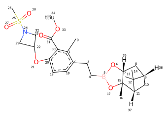 Cc1c(CCB2O[C@@H]3C[C@@H]4C[C@@H](C4(C)C)[C@]3(C)O2)ccc(OC2CN(S(C)(=O)=O)C2)c1C(=O)OC(C)(C)C